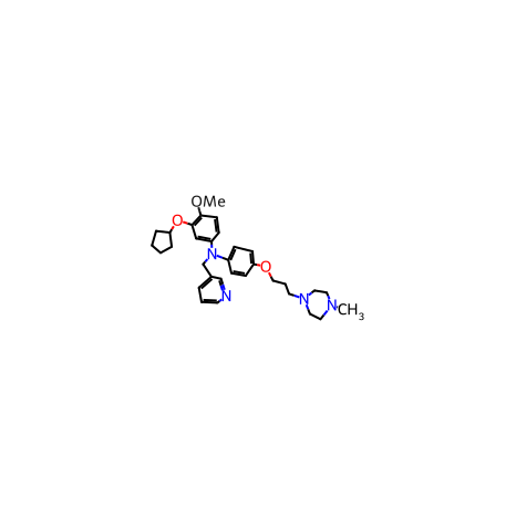 COc1ccc(N(Cc2cccnc2)c2ccc(OCCCN3CCN(C)CC3)cc2)cc1OC1CCCC1